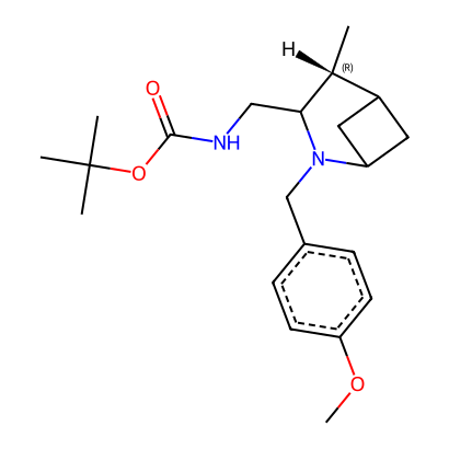 COc1ccc(CN2C3CC(C3)[C@@H](C)C2CNC(=O)OC(C)(C)C)cc1